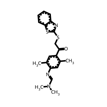 Cc1cc(C(=O)CSc2nc3ccccc3s2)c(C)cc1N=CN(C)C